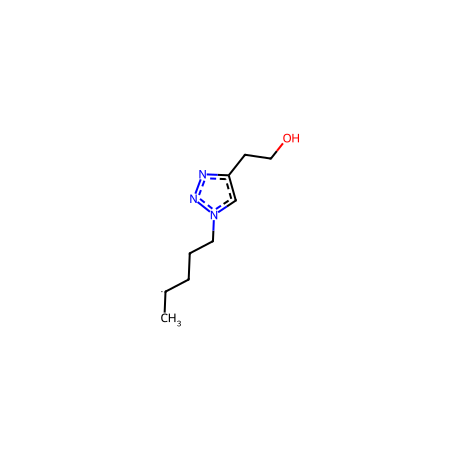 C[CH]CCCn1cc(CCO)nn1